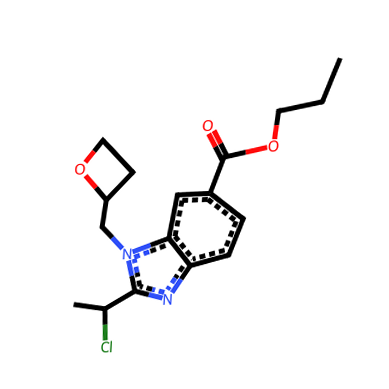 CCCOC(=O)c1ccc2nc(C(C)Cl)n(CC3CCO3)c2c1